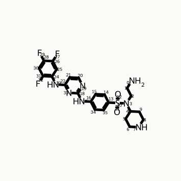 NCCN(C1CCNCC1)S(=O)(=O)c1ccc(Nc2nccc(Nc3cc(F)c(F)cc3F)n2)cc1